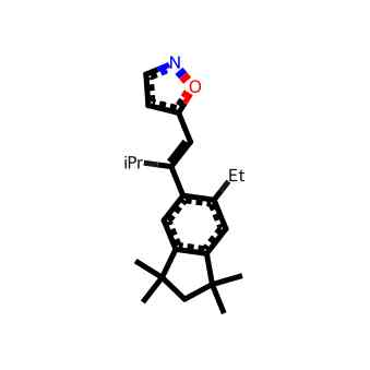 CCc1cc2c(cc1C(=Cc1ccno1)C(C)C)C(C)(C)CC2(C)C